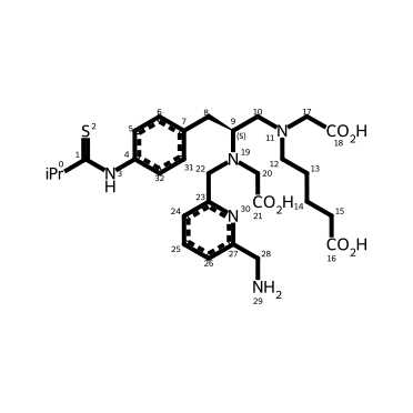 CC(C)C(=S)Nc1ccc(C[C@@H](CN(CCCCC(=O)O)CC(=O)O)N(CC(=O)O)Cc2cccc(CN)n2)cc1